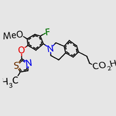 COc1cc(F)c(N2CCc3cc(CCC(=O)O)ccc3C2)cc1Oc1ncc(C)s1